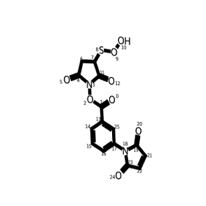 O=C(ON1C(=O)CC(SOO)C1=O)c1cccc(N2C(=O)C=CC2=O)c1